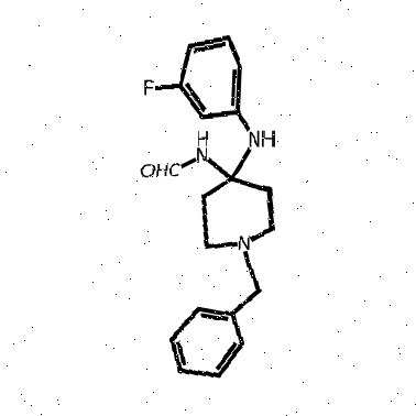 O=CNC1(Nc2cccc(F)c2)CCN(Cc2ccccc2)CC1